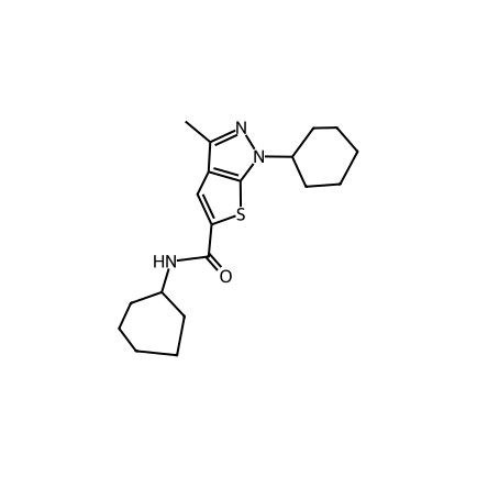 Cc1nn(C2CCCCC2)c2sc(C(=O)NC3CCCCC3)cc12